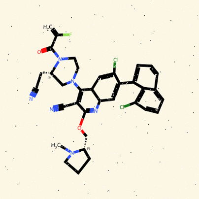 C=C(F)C(=O)N1CCN(C2=C(C#N)C(OC[C@@H]3CCCN3C)=NC3C=C(c4cccc5cccc(Cl)c45)C(Cl)=CC23)C[C@@H]1CC#N